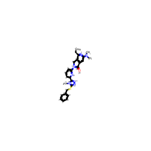 CNCc1nc(N(C)C(C)C)cc2c1CN(c1cccc(-c3nnc(SCc4ccccc4)n3C(C)C)n1)C2=O